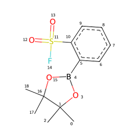 CC1(C)OB(c2ccccc2S(=O)(=O)F)OC1(C)C